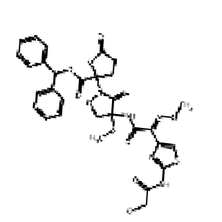 CON=C(C(=O)NC1(SC)CON(C2(C(=O)OC(c3ccccc3)c3ccccc3)CCC(=O)O2)C1=O)c1csc(NC(=O)CCl)n1